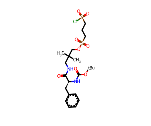 CC(C)(CNC(=O)[C@H](Cc1ccccc1)NC(=O)OC(C)(C)C)COS(=O)(=O)CCCS(=O)(=O)Cl